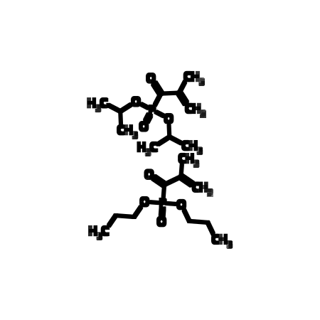 C=C(C)C(=O)P(=O)(OC(C)C)OC(C)C.C=C(C)C(=O)P(=O)(OCCC)OCCC